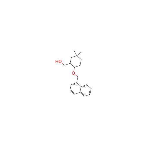 CC1(C)CCC(OCc2cccc3ccccc23)C(CO)C1